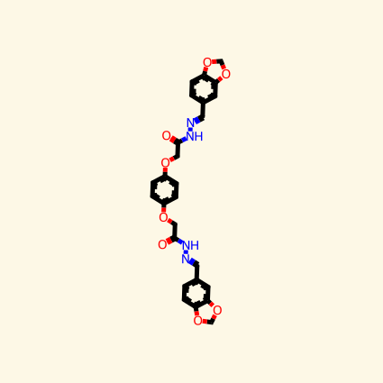 O=C(COc1ccc(OCC(=O)N/N=C/c2ccc3c(c2)OCO3)cc1)N/N=C/c1ccc2c(c1)OCO2